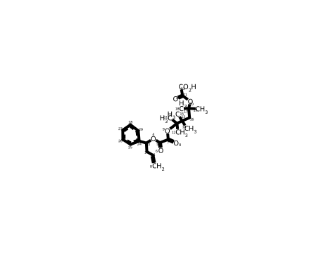 C=CCC(OC(=O)C(=O)OC(C)(C)C(C)(C)CC(C)(C)OC(=O)C(=O)O)c1ccccc1